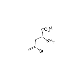 C=C(Br)CC(N)C(=O)O